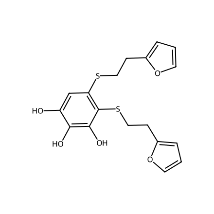 Oc1cc(SCCc2ccco2)c(SCCc2ccco2)c(O)c1O